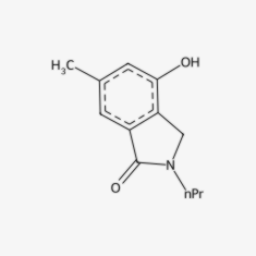 CCCN1Cc2c(O)cc(C)cc2C1=O